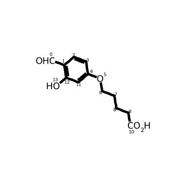 O=Cc1ccc(OCCCCC(=O)O)cc1O